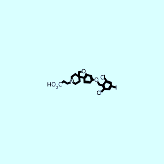 O=C(O)CCN1CCC2(CC1)COc1cc(OCc3c(Cl)cc(I)cc3Cl)ccc12